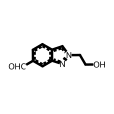 O=Cc1ccc2cn(CCO)nc2c1